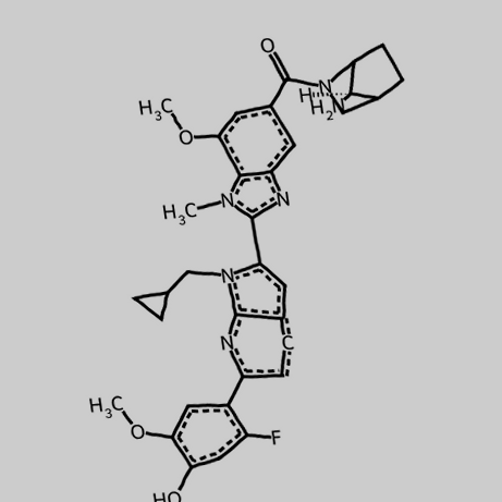 COc1cc(-c2ccc3cc(-c4nc5cc(C(=O)N6CC7CCC6[C@@H]7N)cc(OC)c5n4C)n(CC4CC4)c3n2)c(F)cc1O